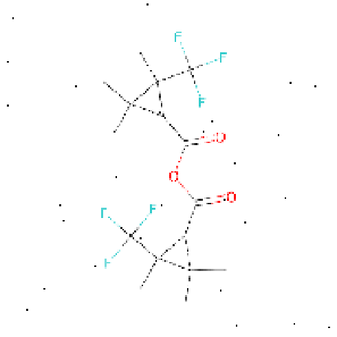 CC1(C)C(C(=O)OC(=O)C2C(C)(C)C2(C)C(F)(F)F)C1(C)C(F)(F)F